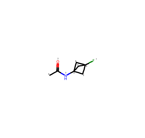 CC(=O)NC12CC(F)(C1)C2